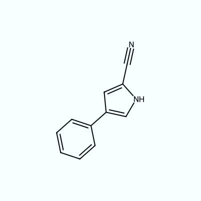 N#Cc1cc(-c2ccccc2)c[nH]1